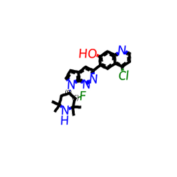 CC1(C)C[C@H](n2ccc3cc(-c4cc5c(Cl)ccnc5cc4O)nnc32)[C@H](F)C(C)(C)N1